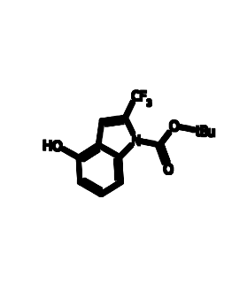 CC(C)(C)OC(=O)n1c(C(F)(F)F)cc2c(O)cccc21